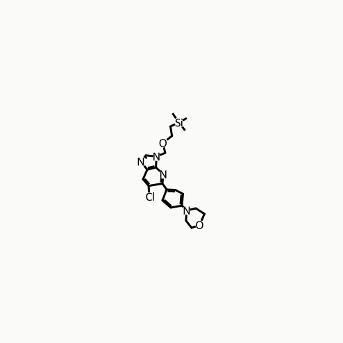 C[Si](C)(C)CCOCn1cnc2cc(Cl)c(-c3ccc(N4CCOCC4)cc3)nc21